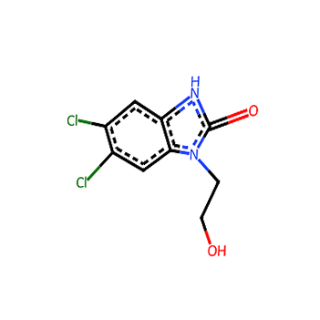 O=c1[nH]c2cc(Cl)c(Cl)cc2n1CCO